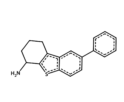 NC1CCCc2c1sc1ccc(-c3ccccc3)cc21